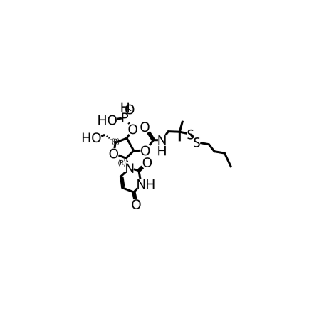 CCCCSSC(C)(C)CNC(=O)OC1C(O[PH](=O)O)[C@@H](CO)O[C@H]1n1ccc(=O)[nH]c1=O